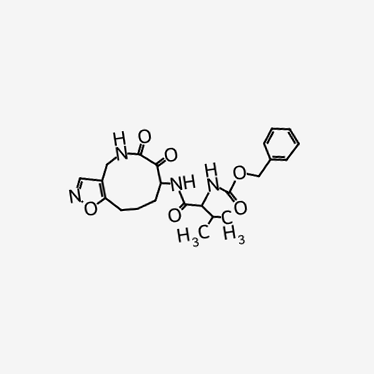 CC(C)C(NC(=O)OCc1ccccc1)C(=O)NC1CCCc2oncc2CNC(=O)C1=O